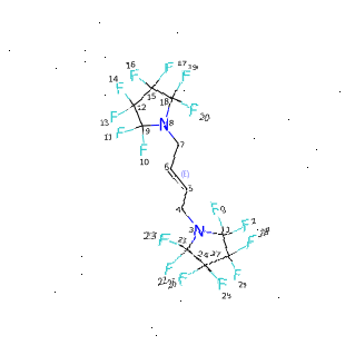 FC1(F)N(C/C=C/CN2C(F)(F)C(F)(F)C(F)(F)C2(F)F)C(F)(F)C(F)(F)C1(F)F